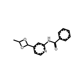 CC1OC(c2ccnc(NC(=O)c3ccccc3)c2)O1